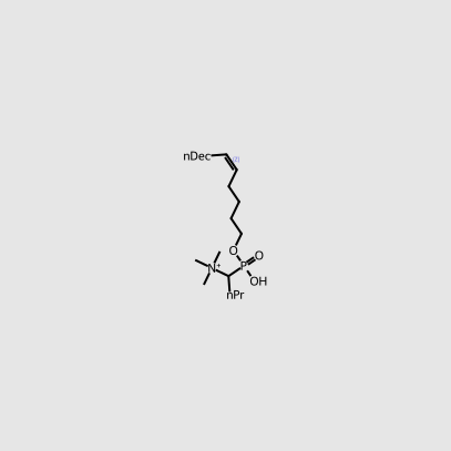 CCCCCCCCCC/C=C\CCCCOP(=O)(O)C(CCC)[N+](C)(C)C